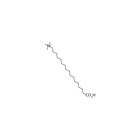 C[N+](C)(C)CCCCCCCCCCCCCCCCC(=O)O